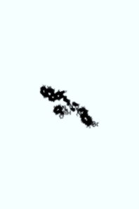 Cc1cc2c3c(ccc2cc1CCCCN1CCN(c2ccc4cc(Br)ccc4n2)CC1)C1=C(CCC=C1)CC3.O=c1[nH]cnc2ccccc12